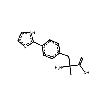 CC(N)(Cc1ccc(-c2ncc[nH]2)cc1)C(=O)O